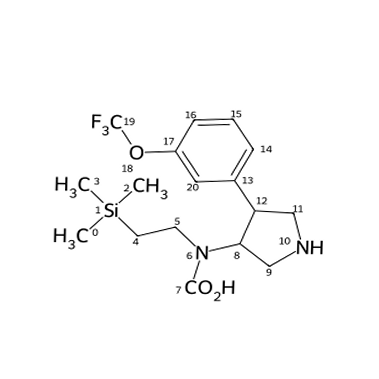 C[Si](C)(C)CCN(C(=O)O)C1CNCC1c1cccc(OC(F)(F)F)c1